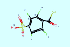 O=C(S)c1c(F)c(F)c(S(=O)(=O)O)c(F)c1F